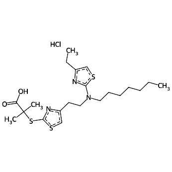 CCCCCCCN(CCc1csc(SC(C)(C)C(=O)O)n1)c1nc(CC)cs1.Cl